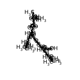 CCCNC(=O)C(CSC1CC(=O)C(CCC(=O)NC(CCCCNC(=O)OC(C)(C)C)C(=O)NCCOCCOCCC(=O)NC(CCCCNC(=O)OC(C)(C)C)C(=O)NCCO)C1=O)NC(C)=O